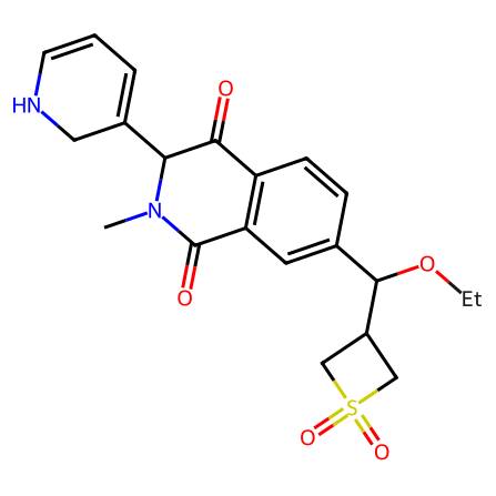 CCOC(c1ccc2c(c1)C(=O)N(C)C(C1=CC=CNC1)C2=O)C1CS(=O)(=O)C1